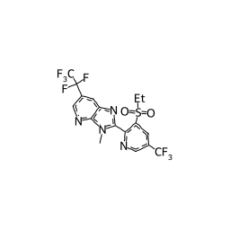 CCS(=O)(=O)c1cc(C(F)(F)F)cnc1-c1nc2cc(C(F)(F)C(F)(F)F)cnc2n1C